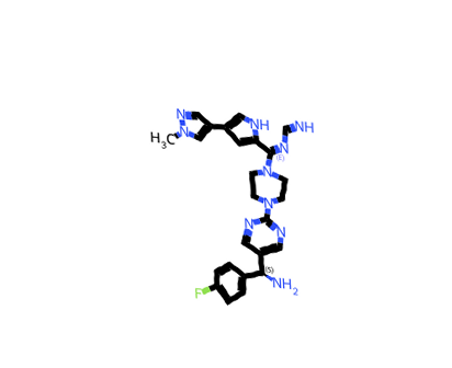 Cn1cc(-c2c[nH]c(/C(=N\C=N)N3CCN(c4ncc([C@@H](N)c5ccc(F)cc5)cn4)CC3)c2)cn1